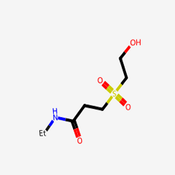 [CH2]CNC(=O)CCS(=O)(=O)CCO